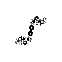 COC(=O)N[C@H](C(=O)N1CCCC1c1cn(-c2ccc(-c3ccc(-n4cnc([C@@H]5CCCN5C(=O)[C@@H](NC(=O)OC)C(C)C)c4)cc3)cc2)cn1)C(C)C